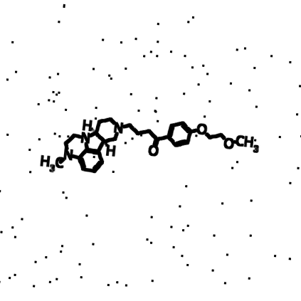 COCCOc1ccc(C(=O)CCCN2CC[C@H]3[C@@H](C2)c2cccc4c2N3CCN4C)cc1